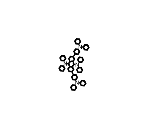 c1ccc(N(c2ccccc2)c2ccc(-c3ccc4c(N(c5ccccc5)c5ccccc5)c5ccc(-c6ccc(N(c7ccccc7)c7ccccc7)cc6)cc5c(N(c5ccccc5)c5ccccc5)c4c3)cc2)cc1